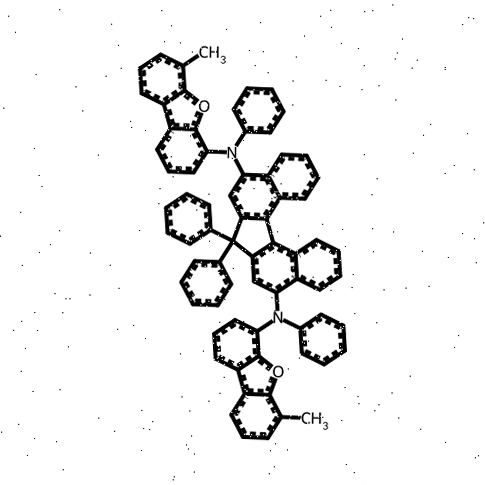 Cc1cccc2c1oc1c(N(c3ccccc3)c3cc4c(c5ccccc35)-c3c(cc(N(c5ccccc5)c5cccc6c5oc5c(C)cccc56)c5ccccc35)C4(c3ccccc3)c3ccccc3)cccc12